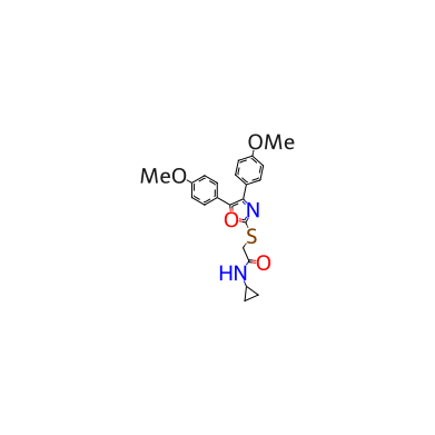 COc1ccc(-c2nc(SCC(=O)NC3CC3)oc2-c2ccc(OC)cc2)cc1